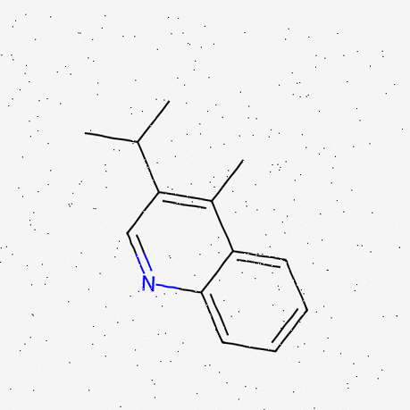 Cc1c(C(C)C)cnc2ccccc12